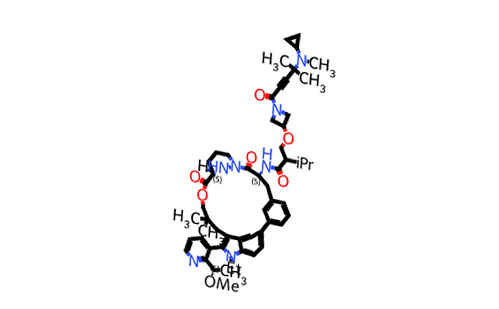 CCn1c(-c2cccnc2[C@H](C)OC)c2c3cc(ccc31)-c1cccc(c1)C[C@H](NC(=O)C(COC1CN(C(=O)C#CC(C)(C)N(C)C3CC3)C1)C(C)C)C(=O)N1CCC[C@H](N1)C(=O)OCC(C)(C)C2